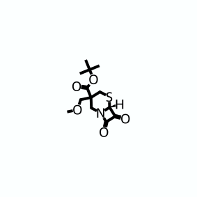 COCC1(C(=O)OC(C)(C)C)CS[C@@H]2C(=O)C(=O)N2C1